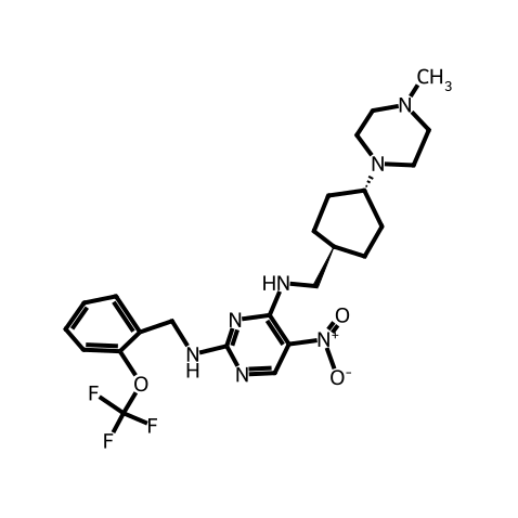 CN1CCN([C@H]2CC[C@H](CNc3nc(NCc4ccccc4OC(F)(F)F)ncc3[N+](=O)[O-])CC2)CC1